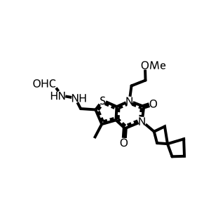 COCCn1c(=O)n(C2CC3(CCC3)C2)c(=O)c2c(C)c(CNNC=O)sc21